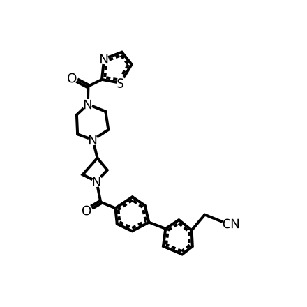 N#CCc1cccc(-c2ccc(C(=O)N3CC(N4CCN(C(=O)c5nccs5)CC4)C3)cc2)c1